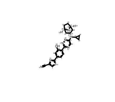 N#Cc1csc(-c2ccc(-c3ncc(N(C4CC4)[C@@H]4C[C@H]5CC[C@@H](C4)N5)nn3)c(O)c2)n1